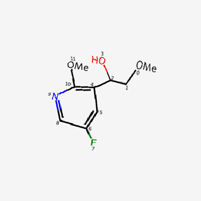 COCC(O)c1cc(F)cnc1OC